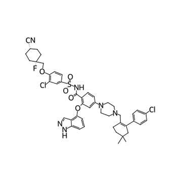 CC1(C)CCC(CN2CCN(c3ccc(C(=O)NS(=O)(=O)c4ccc(OC[C@]5(F)CC[C@@H](C#N)CC5)c(Cl)c4)c(Oc4cccc5[nH]ncc45)c3)CC2)=C(c2ccc(Cl)cc2)C1